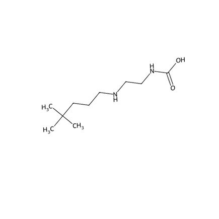 CC(C)(C)CCCNCCNC(=O)O